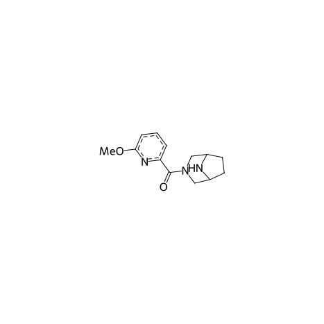 COc1cccc(C(=O)N2CC3CCC(C2)N3)n1